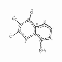 N#Cc1c(Cl)nc2c(N)cccc2c1Cl